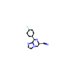 N#Cc1cn2ccnc2c(-c2ccc(F)cc2)n1